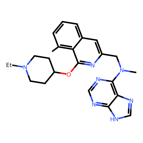 CCN1CCC(Oc2nc(CN(C)c3ncnc4[nH]cnc34)cc3cccc(C)c23)CC1